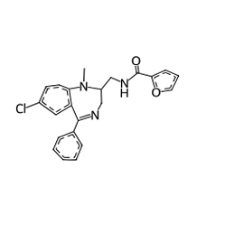 CN1c2ccc(Cl)cc2C(c2ccccc2)=NCC1CNC(=O)c1ccco1